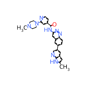 Cc1cc2cc(-c3ccc4nnc(NC(=O)c5ccnc(N6CCN(C)CC6)c5)cc4c3)cnc2[nH]1